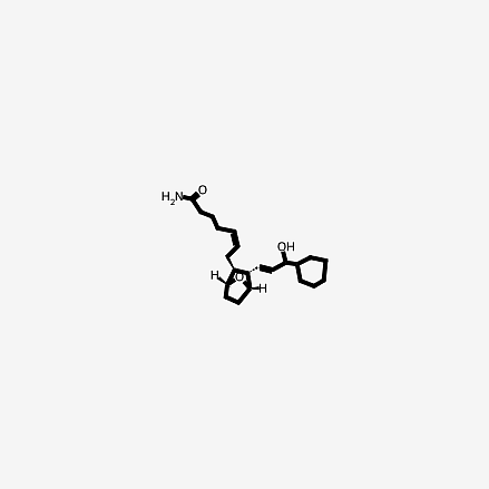 NC(=O)CCC/C=C\C[C@H]1[C@H](/C=C/C(O)C2CCCCC2)[C@@H]2CC[C@H]1O2